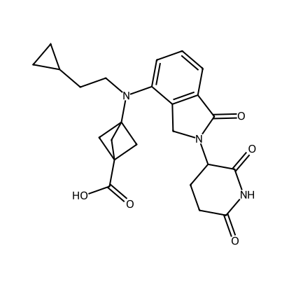 O=C1CCC(N2Cc3c(cccc3N(CCC3CC3)C34CC(C(=O)O)(C3)C4)C2=O)C(=O)N1